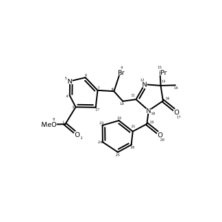 COC(=O)c1cncc(C(Br)CC2=NC(C)(C(C)C)C(=O)N2C(=O)c2ccccc2)c1